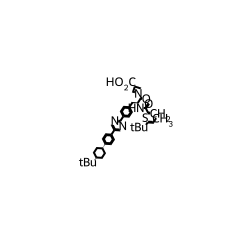 C=C(S/C(=C\C)C(C)(C)C)C(=O)N[C@@H](Cc1ccc(-c2ncc(-c3ccc([C@H]4CC[C@@H](C(C)(C)C)CC4)cc3)cn2)cc1)C(=O)N1CC(C(=O)O)C1